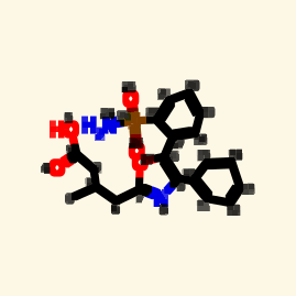 CC(CC(=O)O)Cc1nc(-c2ccccc2)c(-c2ccccc2S(N)(=O)=O)o1